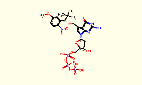 COc1ccc([N+](=O)[O-])c([C@@H](OCc2cn([C@H]3C[C@@H](O)[C@@H](COP(=O)(O)OP(=O)(O)OP(=O)(O)O)O3)c3nc(N)[nH]c(=O)c23)C(C)(C)C)c1